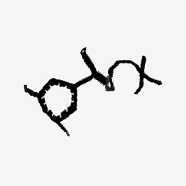 CC(C)(C)COC(=O)c1cc(I)cc(I)c1